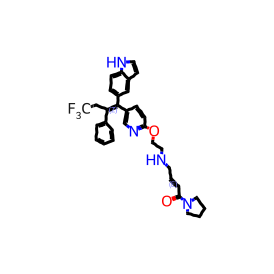 O=C(/C=C/CNCCOc1ccc(/C(=C(/CC(F)(F)F)c2ccccc2)c2ccc3[nH]ccc3c2)cn1)N1CCCC1